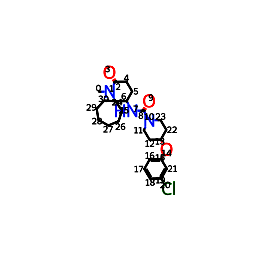 CN1C(=O)CCC(NC(=O)N2CCC(Oc3cccc(Cl)c3)CC2)C12CCCCCC2